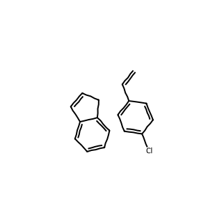 C1=Cc2ccccc2C1.C=Cc1ccc(Cl)cc1